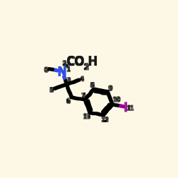 CN(C(=O)O)C(C)(C)Cc1ccc(I)cc1